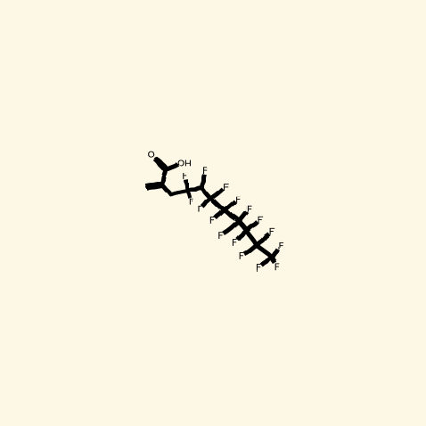 C=C(CC(F)(F)C(F)C(F)(F)C(F)(F)C(F)(F)C(F)(F)C(F)(F)C(F)(F)F)C(=O)O